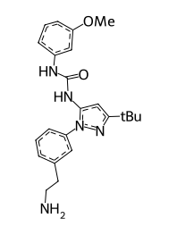 COc1cccc(NC(=O)Nc2cc(C(C)(C)C)nn2-c2cccc(CCN)c2)c1